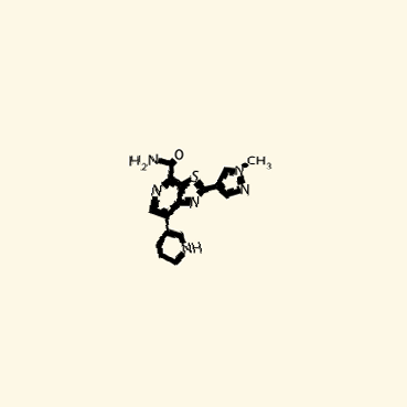 Cn1cc(-c2nc3c([C@@H]4CCCNC4)cnc(C(N)=O)c3s2)cn1